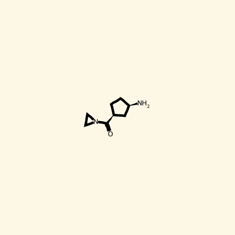 N[C@@H]1CC[C@H](C(=O)N2CC2)C1